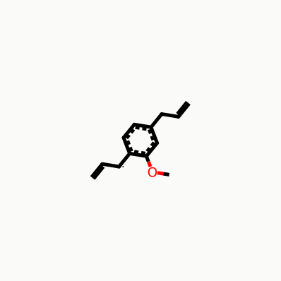 C=C[CH]c1ccc(CC=C)cc1OC